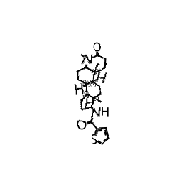 CN1C(=O)C=C[C@@]2(C)C1CC[C@@H]1[C@H]2CC[C@]2(C)C(NC(=O)c3cccs3)CC[C@@H]12